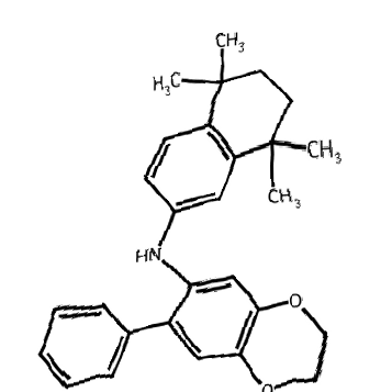 CC1(C)CCC(C)(C)c2cc(Nc3cc4c(cc3-c3ccccc3)OCCO4)ccc21